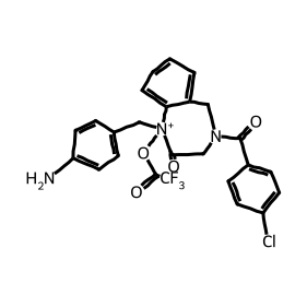 Nc1ccc(C[N+]2(OC(=O)C(F)(F)F)C(=O)CN(C(=O)c3ccc(Cl)cc3)Cc3ccccc32)cc1